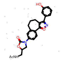 CC(=O)NCC1CN(c2ccc3c(c2)CCCc2c(-c4cccc(O)c4)noc2-3)C(=O)O1